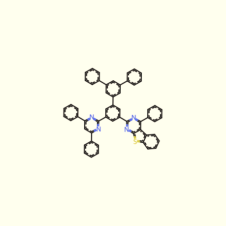 c1ccc(-c2cc(-c3ccccc3)cc(-c3cc(-c4nc(-c5ccccc5)cc(-c5ccccc5)n4)cc(-c4nc(-c5ccccc5)c5c(n4)sc4ccccc45)c3)c2)cc1